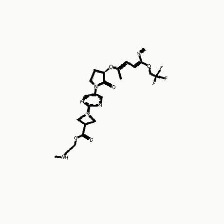 C=N/C(=C\C=C(/C)O[C@@H]1CCN(c2cnc(N3CC(C(=O)OCCNC)C3)nc2)C1=O)OCC(F)(F)F